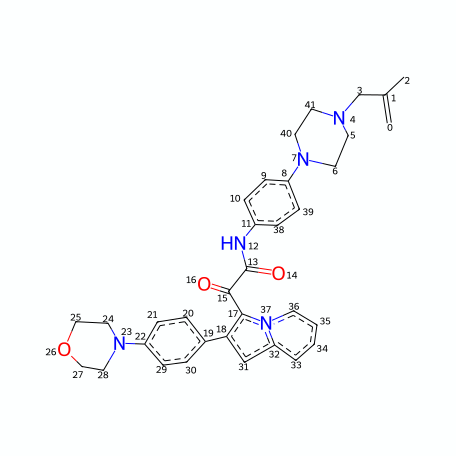 C=C(C)CN1CCN(c2ccc(NC(=O)C(=O)c3c(-c4ccc(N5CCOCC5)cc4)cc4ccccn34)cc2)CC1